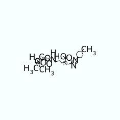 CC1CCC(n2cnc(C[C@H](CCCNC(=O)O[C@@H](C)OC(=O)C(C)C)C(=O)O)c2)CC1